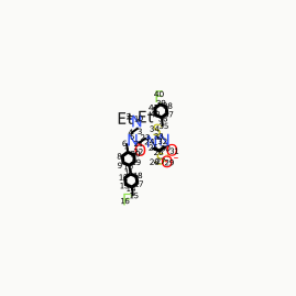 CCN(CC)CCN(Cc1ccc(-c2ccc(CF)cc2)cc1)C(=O)Cn1cc([S+](C)[O-])c(=O)nc1SCc1ccc(F)cc1